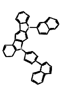 C1=Cc2c(n(-c3ccc(-c4cccc5ccccc45)cc3)c3cc4c(cc23)c2ccccc2n4-c2ccc3ccccc3c2)CC1